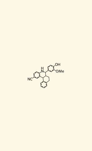 COc1cc(C2Nc3ccc(C#N)cc3C3c4ccccc4CCC23)ccc1O